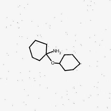 NC1(OC2CC[CH]CC2)CCCCC1